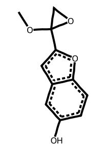 COC1(c2cc3cc(O)ccc3o2)CO1